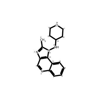 Cc1nc2cnc3ccccc3c2n1NC1CCOCC1